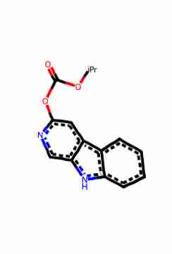 CC(C)OC(=O)Oc1cc2c(cn1)[nH]c1ccccc12